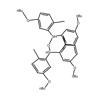 CCCCOc1ccc(C)c([SiH](O[SiH](c2cc(OCCCC)ccc2C)c2cc(OCCCC)ccc2C)c2cc(OCCCC)ccc2C)c1